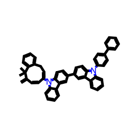 C=C1/C=C\C(n2c3ccccc3c3cc(-c4ccc5c(c4)c4ccccc4n5-c4ccc(-c5ccccc5)cc4)ccc32)=C/Cc2ccccc2C1(C)C